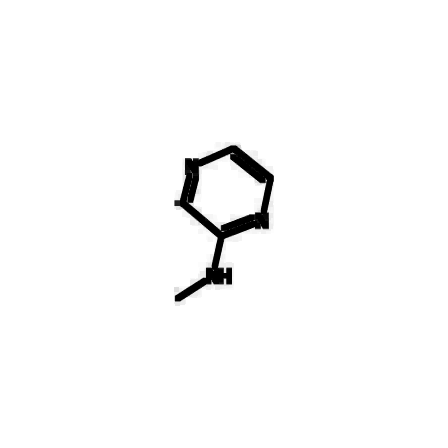 CNc1[c]nccn1